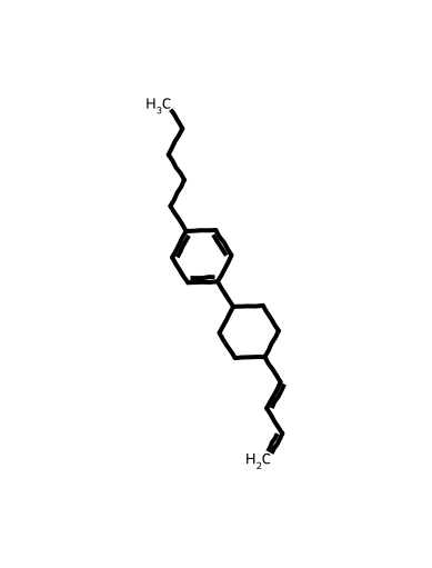 C=CC=CC1CCC(c2ccc(CCCCC)cc2)CC1